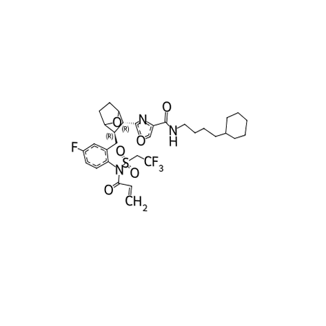 C=CC(=O)N(c1ccc(F)cc1C[C@H]1C2CCC(O2)[C@@H]1c1nc(C(=O)NCCCCC2CCCCC2)co1)S(=O)(=O)CC(F)(F)F